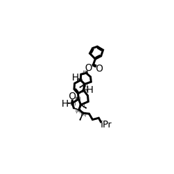 CC(C)CCC[C@@H](C)[C@H]1C[C@@H]2O[C@@]23C2=CC[C@H]4C[C@@H](OC(=O)c5ccccc5)CC[C@]4(C)[C@H]2CC[C@]13C